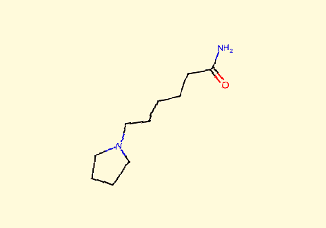 NC(=O)CCCCCN1CCCC1